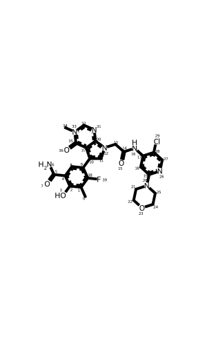 Cc1c(O)c(C(N)=O)cc(-c2cn(CC(=O)Nc3cc(N4CCOCC4)ncc3Cl)c3ncn(C)c(=O)c23)c1F